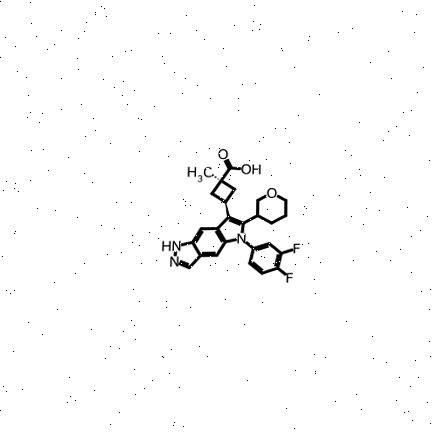 C[C@]1(C(=O)O)C[C@@H](c2c(C3CCCOC3)n(-c3ccc(F)c(F)c3)c3cc4cn[nH]c4cc32)C1